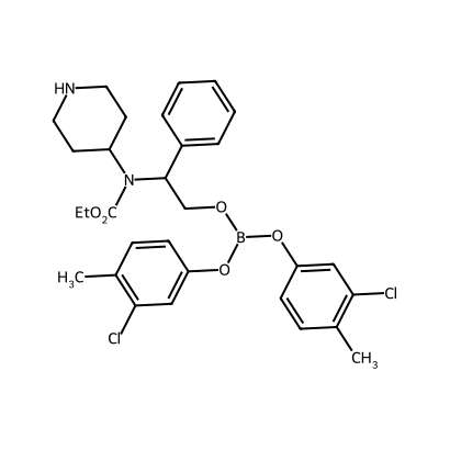 CCOC(=O)N(C1CCNCC1)C(COB(Oc1ccc(C)c(Cl)c1)Oc1ccc(C)c(Cl)c1)c1ccccc1